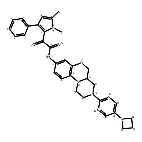 Cc1cc(-c2ccccc2)c(C(=O)C(=O)Nc2ccc3c(c2)OCC2CN(c4ncc(N5CCC5)cn4)CCN32)n1C